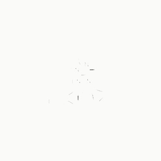 Cn1c2c(c(=O)n(CCCO)c1=O)N(Cc1ccc(F)cc1)C(Oc1ccc(OC(F)(F)F)cc1)N2